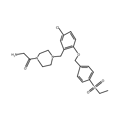 CCS(=O)(=O)c1ccc(COc2ccc(Cl)cc2CN2CCN(C(=O)CN)CC2)cc1